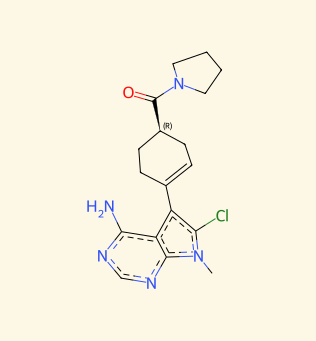 Cn1c(Cl)c(C2=CC[C@H](C(=O)N3CCCC3)CC2)c2c(N)ncnc21